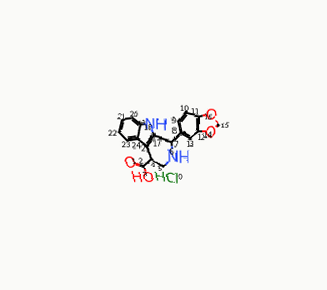 Cl.O=C(O)C1CNC(c2ccc3c(c2)OCO3)c2[nH]c3ccccc3c21